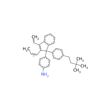 C=CC1=C(/C=C\C)C(c2ccc(N)cc2)(c2ccc(CCC(C)(C)C)cc2)c2ccccc21